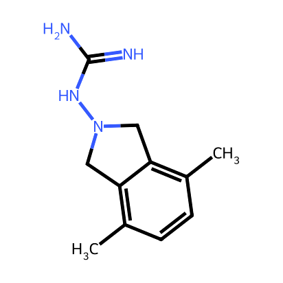 Cc1ccc(C)c2c1CN(NC(=N)N)C2